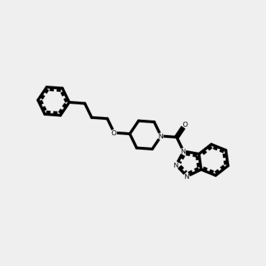 O=C(N1CCC(OCCCc2ccccc2)CC1)n1nnc2ccccc21